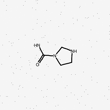 [NH]C(=O)N1CCNC1